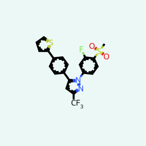 CS(=O)(=O)c1ccc(-n2nc(C(F)(F)F)cc2-c2ccc(-c3cccs3)cc2)cc1F